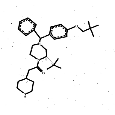 CC(C)(C)COc1ccc(C(c2ccccc2)N2CCN(C(=O)CC3CCNCC3)[C@@H](C(C)(C)C)C2)cc1